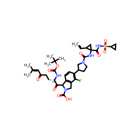 C=CC1CC1(NC(=O)N1CCC(c2ccc3c(c2F)CN(C(=O)O)C3C(=O)[C@H](CCC(=O)C=C(C)C)NC(=O)OC(C)(C)C)C1)C(=O)NS(=O)(=O)C1CC1